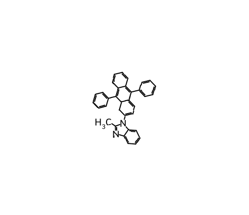 Cc1nc2ccccc2n1C1=CC=C2C(c3ccccc3)=c3ccccc3=C(c3ccccc3)C2C1